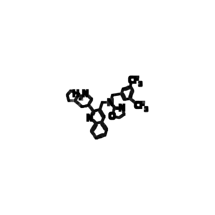 NCC(CC1CCCC1)c1nc2ccccc2cc1CN(Cc1cc(C(F)(F)F)cc(C(F)(F)F)c1)C1=NCCO1